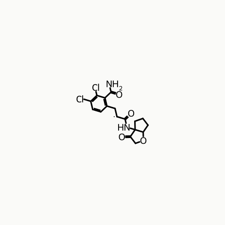 NC(=O)c1c(C[CH]C(=O)NC23CCCC2OCC3=O)ccc(Cl)c1Cl